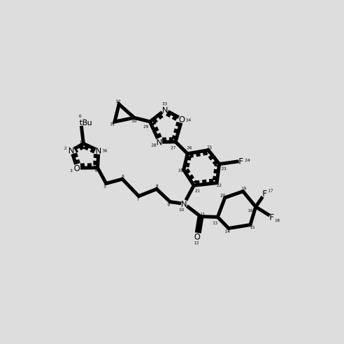 CC(C)(C)c1noc(CCCCCN(C(=O)C2CCC(F)(F)CC2)c2cc(F)cc(-c3nc(C4CC4)no3)c2)n1